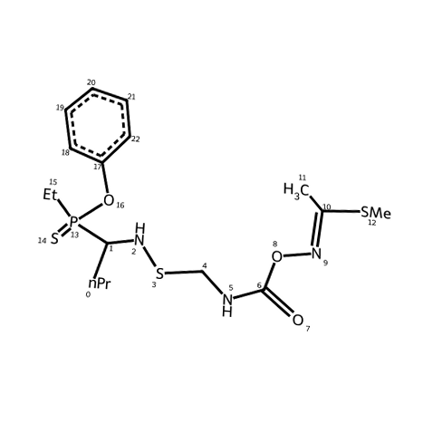 CCCC(NSCNC(=O)ON=C(C)SC)P(=S)(CC)Oc1ccccc1